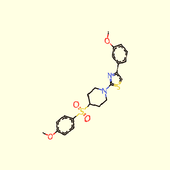 COc1ccc(S(=O)(=O)C2CCN(c3nc(-c4cccc(OC)c4)cs3)CC2)cc1